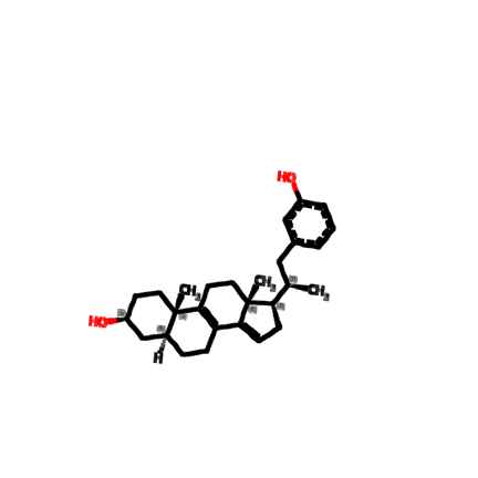 C[C@H](Cc1cccc(O)c1)[C@H]1CC=C2C3=C(CC[C@@]21C)[C@@]1(C)CC[C@H](O)C[C@@H]1CC3